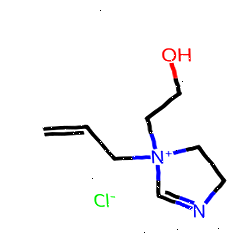 C=CC[N+]1(CCO)C=NCC1.[Cl-]